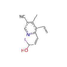 C=Cc1c(/C=C\C(O)I)ncc(C#N)c1C